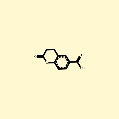 O=C1CCc2cc(C(=O)O)ccc2O1